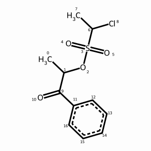 CC(OS(=O)(=O)C(C)Cl)C(=O)c1ccccc1